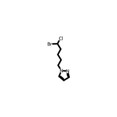 ClC(Br)CCCCn1cccn1